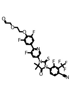 CC1(C)C(=O)N(c2ccc(C#N)c(C(F)(F)F)c2F)C(=S)N1c1cnc(-c2cc(F)c(OCCOCC=O)c(F)c2)c(F)c1